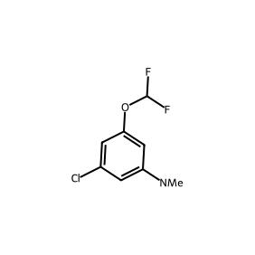 CNc1cc(Cl)cc(OC(F)F)c1